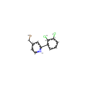 Clc1cccc(-c2cc(CBr)ccn2)c1Cl